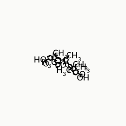 CC1CC(=CC=C2N(C)c3ccc(C(=O)O)cc3C2(C)C)C(Oc2ccccc2)=C(C=CC2=[N+](C)c3ccc(C(=O)O)cc3C2(C)C)C1